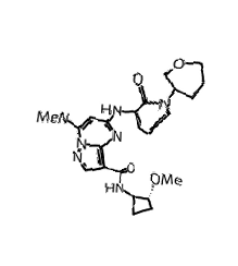 CNc1cc(Nc2cccn(C3CCCOC3)c2=O)nc2c(C(=O)N[C@@H]3CC[C@H]3OC)cnn12